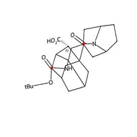 CC(C)(C)OC(=O)N[C@H](C(=O)O)C1CC2CCC(C1)N2C(=O)C12CC3CC(CC(C3)C1)C2